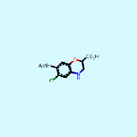 CC(=O)Nc1cc2c(cc1Cl)NCC(C(=O)O)O2